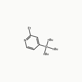 CCC[CH2][Sn]([CH2]CCC)([CH2]CCC)[c]1ccnc(CC)c1